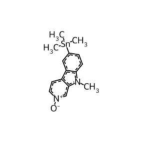 Cn1c2cc[c]([Sn]([CH3])([CH3])[CH3])cc2c2cc[n+]([O-])cc21